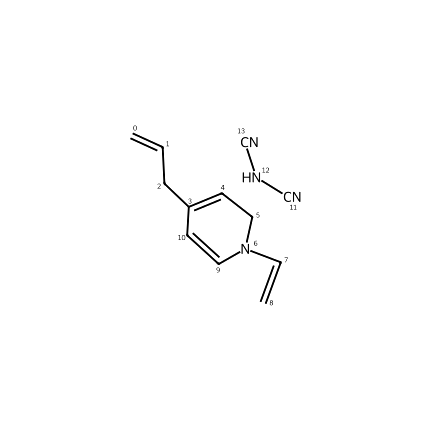 C=CCC1=CCN(C=C)C=C1.N#CNC#N